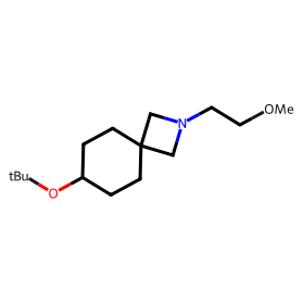 COCCN1CC2(CCC(OC(C)(C)C)CC2)C1